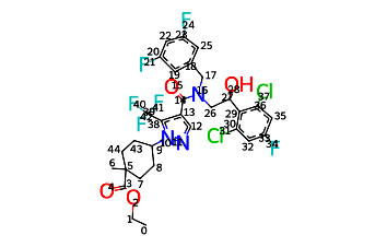 CCOC(=O)C1(C)CCC(n2ncc(C(=O)N(Cc3cc(F)cc(F)c3)CC(O)c3c(Cl)cc(F)cc3Cl)c2C(F)(F)F)CC1